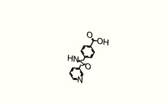 N=S(=O)(c1ccc(C(=O)O)cc1)c1cccnc1